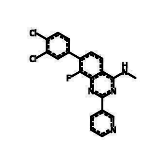 CNc1nc(-c2cccnc2)nc2c(F)c(-c3ccc(Cl)c(Cl)c3)ccc12